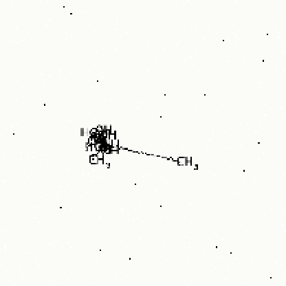 CCCCCCCCCCCCCCCCCCCCCCCCCCCCCC(=O)N[C@@H](CO[C@H]1O[C@H](CO)[C@H](O)[C@H](O)[C@H]1O)[C@H](O)[C@H](O)CCCCC